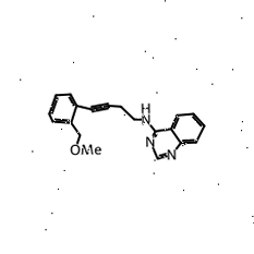 COCc1ccccc1C#CCCNc1ncnc2ccccc12